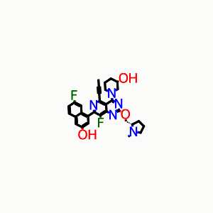 CC#Cc1nc(-c2cc(O)cc3ccc(F)cc23)c(F)c2nc(OC[C@@H]3CCCN3C)nc(N3CCC[C@@H](O)C3)c12